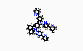 c1ccc(-c2ccc(N3c4cc5c(cc4-c4cccc6cccc3c46)c3cc(-c4ccccn4)ccc3n5-c3ccc(-c4ccccn4)cn3)nc2)nc1